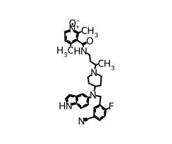 Cc1cc[n+]([O-])c(C)c1C(=O)NCCC(C)N1CCC(N(Cc2cc(C#N)ccc2F)c2ccc3[nH]ccc3c2)CC1